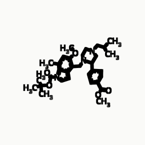 COC(=O)c1ccc(C2CN(CC(C)C)CCN2Cc2c(OC)cc(C)c3c2ccn3C(=O)OC(C)(C)C)cc1